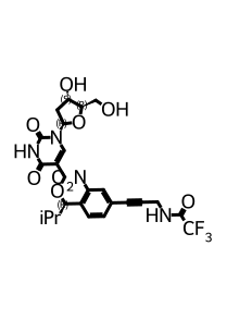 CC(C)[C@@H](OCc1cn([C@H]2C[C@H](O)[C@@H](CO)O2)c(=O)[nH]c1=O)c1ccc(C#CCNC(=O)C(F)(F)F)cc1[N+](=O)[O-]